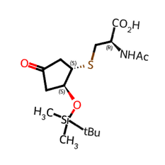 CC(=O)N[C@@H](CS[C@H]1CC(=O)C[C@@H]1O[Si](C)(C)C(C)(C)C)C(=O)O